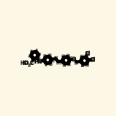 O=C(O)c1ccccc1Nc1ccc(CCc2ccc(OCc3ccc(Cl)c(Cl)c3)cc2)cc1